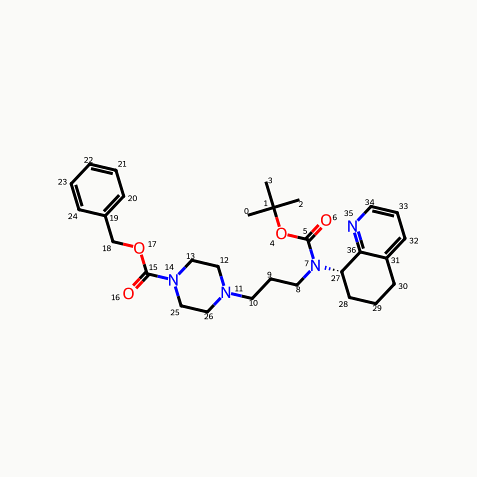 CC(C)(C)OC(=O)N(CCCN1CCN(C(=O)OCc2ccccc2)CC1)[C@H]1CCCc2cccnc21